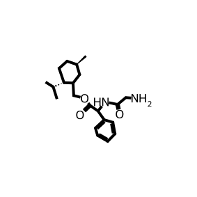 CC(C)[C@@H]1CC[C@@H](C)CC1COC(=O)C(NC(=O)CN)c1ccccc1